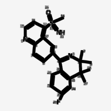 CC1(C)N=C(c2ccc3nccc(S(C)(=N)=O)c3c2)c2ccc(F)cc2C1(C)C